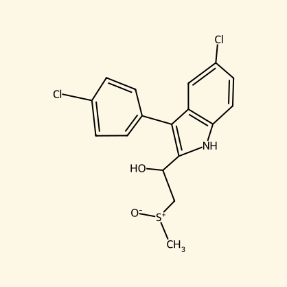 C[S+]([O-])CC(O)c1[nH]c2ccc(Cl)cc2c1-c1ccc(Cl)cc1